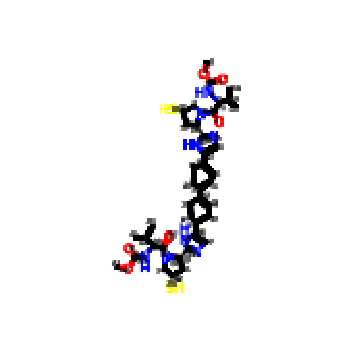 COC(=O)N[C@H](C(=O)N1C[C@@H](S)C[C@H]1c1ncc(-c2ccc(-c3ccc(-c4cnc([C@@H]5C[C@H](S)CN5C(=O)[C@@H](NC(=O)OC)C(C)C)[nH]4)cc3)cc2)[nH]1)C(C)C